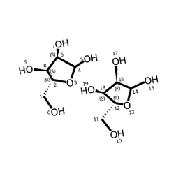 OC[C@H]1OC(O)[C@H](O)[C@@H]1O.OC[C@H]1OC(O)[C@H](O)[C@@H]1O